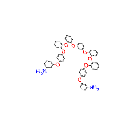 Nc1cccc(Oc2ccc(Oc3ccccc3Oc3ccccc3Oc3cccc(Oc4ccccc4Oc4ccccc4Oc4ccc(Oc5cccc(N)c5)cc4)c3)cc2)c1